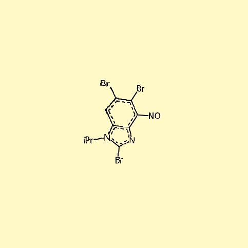 CC(C)n1c(Br)nc2c(N=O)c(Br)c(Br)cc21